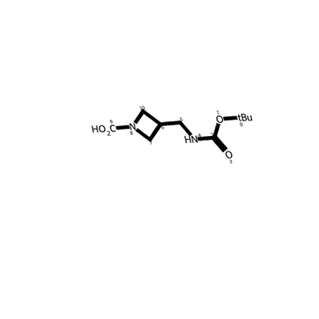 CC(C)(C)OC(=O)NCC1CN(C(=O)O)C1